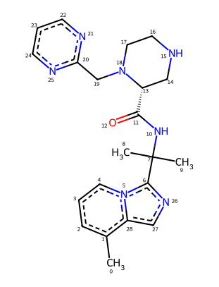 Cc1cccn2c(C(C)(C)NC(=O)[C@H]3CNCCN3Cc3ncccn3)ncc12